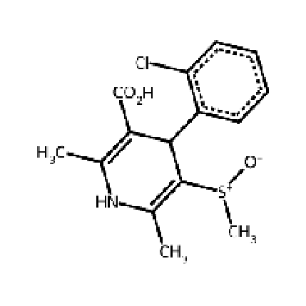 CC1=C(C(=O)O)C(c2ccccc2Cl)C([S+](C)[O-])=C(C)N1